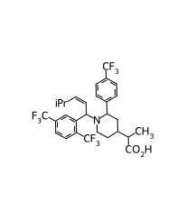 CC(C)/C=C\C(c1cc(C(F)(F)F)ccc1C(F)(F)F)N1CCC(C(C)C(=O)O)CC1c1ccc(C(F)(F)F)cc1